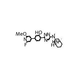 COc1cc(-c2ccc(-c3ncc(N(C)[C@H]4C[C@@H]5CCC[C@](C)(C4)N5)nn3)c(O)c2)cc(F)n1